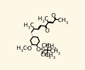 CO[C@@H]1C[C@H](C[C@@H](C)/C=C/C(=O)/C(C)=C/C(C)=O)CCC1O[Si](C)(C)C(C)(C)C